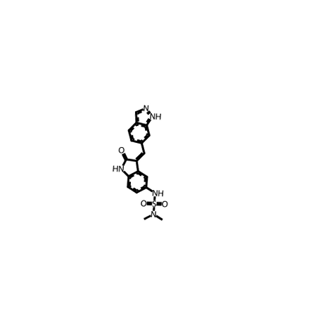 CN(C)S(=O)(=O)Nc1ccc2c(c1)C(=Cc1ccc3cn[nH]c3c1)C(=O)N2